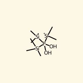 C[Si](C)(C)P(O)(O)([Si](C)(C)C)[Si](C)(C)C